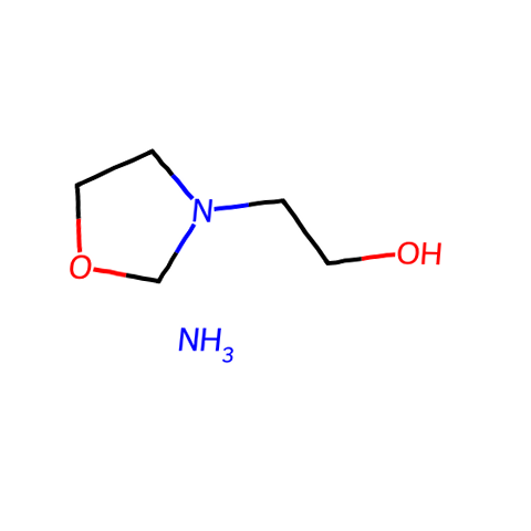 N.OCCN1CCOC1